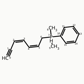 C#C/C=C\C=C/C[PH](C)(C)c1ccccc1